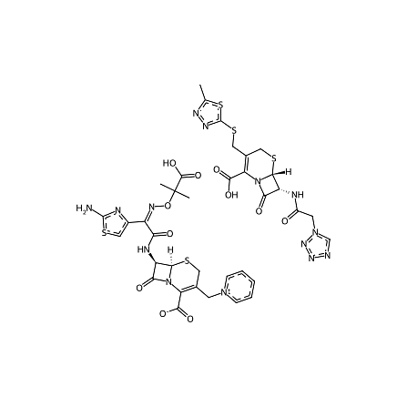 CC(C)(O/N=C(\C(=O)N[C@@H]1C(=O)N2C(C(=O)[O-])=C(C[n+]3ccccc3)CS[C@H]12)c1csc(N)n1)C(=O)O.Cc1nnc(SCC2=C(C(=O)O)N3C(=O)[C@@H](NC(=O)Cn4cnnn4)[C@H]3SC2)s1